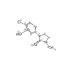 CN1CCN(c2ccc(Cl)c(O)c2)C1=O